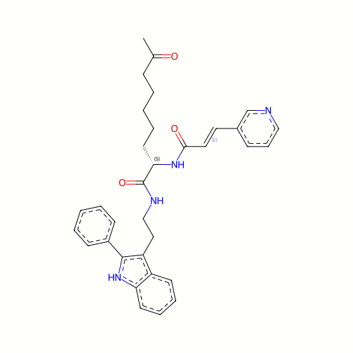 CC(=O)CCCCC[C@H](NC(=O)/C=C/c1cccnc1)C(=O)NCCc1c(-c2ccccc2)[nH]c2ccccc12